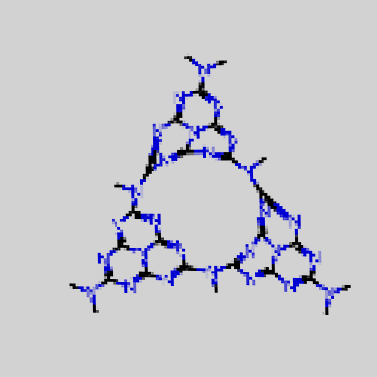 CN(C)C1=NC2=NC3=NC4=NC(=NC(=N1)N24)N(C)C1=NC2=NC(=NC4=NC(N(C)C)=NC(=N1)N42)N(C)C1=NC2=NC(=NC4=NC(N(C)C)=NC(=N1)N42)N3C